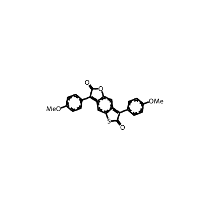 COc1ccc(C2=c3cc4c(cc3OC2=O)=C(c2ccc(OC)cc2)C(=O)S4)cc1